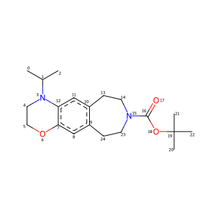 CC(C)N1CCOc2cc3c(cc21)CCN(C(=O)OC(C)(C)C)CC3